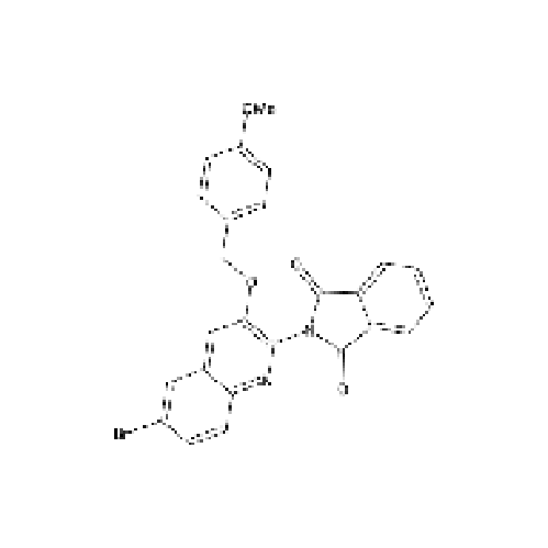 COc1ccc(COc2cc3cc(Br)ccc3nc2N2C(=O)c3ccccc3C2=O)cc1